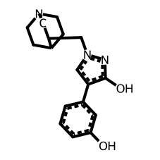 Oc1cccc(-c2cn(CC3CN4CCC3CC4)nc2O)c1